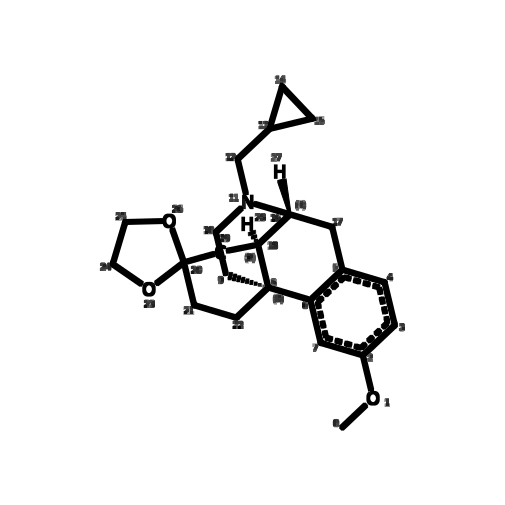 COc1ccc2c(c1)[C@]13CCN(CC4CC4)[C@H](C2)[C@@H]1CC1(CC3)OCCO1